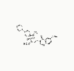 COc1ccc2nnn(CCC(C(=O)O)S(=O)(=O)C3(OC(F)(F)F)C=CC(c4ccccc4)=CC3)c(=O)c2c1